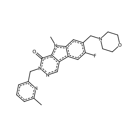 Cc1cccc(Cn2ncc3c4cc(F)c(CN5CCOCC5)cc4n(C)c3c2=O)n1